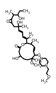 CCC(O)C(C)C1OC1CC(C)(O)/C=C/C=C(\C)C1OC(=O)CC(O)CCC(C)(OC)C(ON2CCN(CCOC)CC2)/C=C/C1C